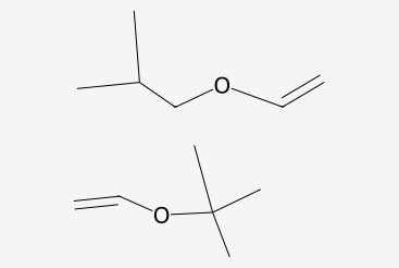 C=COC(C)(C)C.C=COCC(C)C